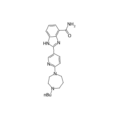 CCCCN1CCCN(c2ccc(-c3nc4c(C(N)=O)cccc4[nH]3)cn2)CC1